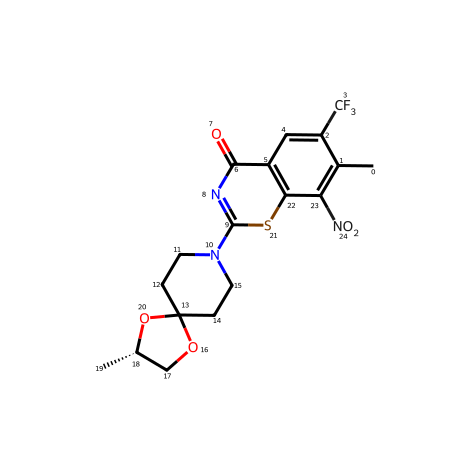 Cc1c(C(F)(F)F)cc2c(=O)nc(N3CCC4(CC3)OC[C@H](C)O4)sc2c1[N+](=O)[O-]